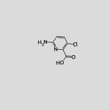 Nc1ccc(Cl)c(C(=O)O)n1